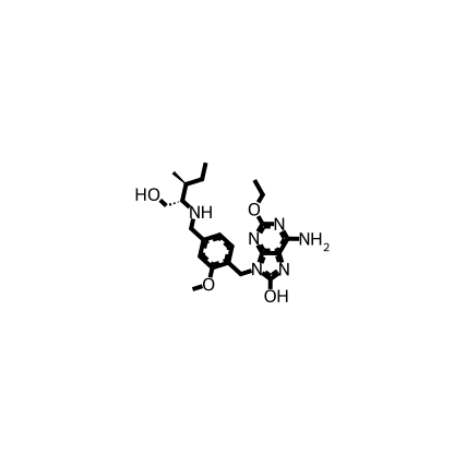 CCOc1nc(N)c2nc(O)n(Cc3ccc(CN[C@H](CO)[C@@H](C)CC)cc3OC)c2n1